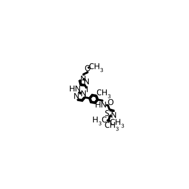 COCCn1cc(Nc2nccc(-c3ccc(CNC(=O)c4cnc(C(C)(C)C)s4)c(C)c3)n2)c(I)n1